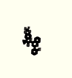 O=C(NC1CC(c2ccccc2Cl)Oc2ccccc21)C1(c2ccc3c(c2)OC(F)(F)O3)CC1